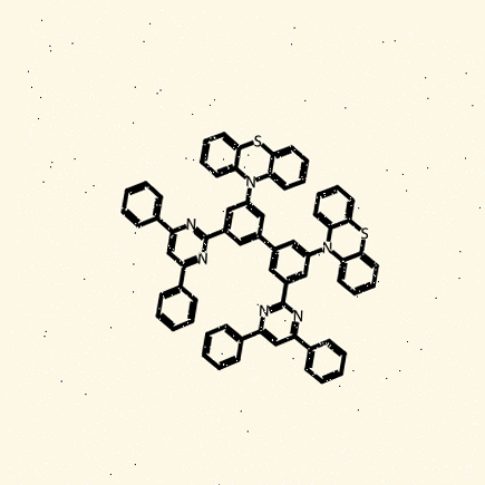 c1ccc(-c2cc(-c3ccccc3)nc(-c3cc(-c4cc(-c5nc(-c6ccccc6)cc(-c6ccccc6)n5)cc(N5c6ccccc6Sc6ccccc65)c4)cc(N4c5ccccc5Sc5ccccc54)c3)n2)cc1